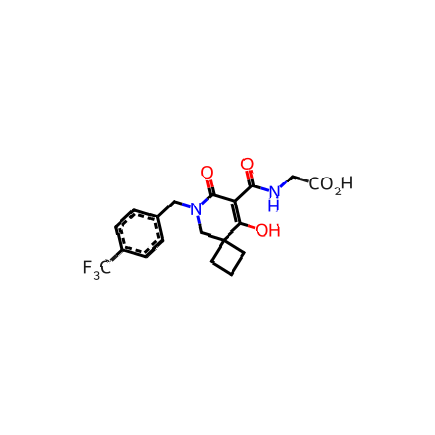 O=C(O)CNC(=O)C1=C(O)C2(CCC2)CN(Cc2ccc(C(F)(F)F)cc2)C1=O